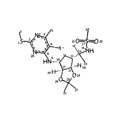 CSc1nc(C)c(I)c(N[C@@H]2C[C@H](C(C)(C)NS(C)(=O)=O)[C@H]3OC(C)(C)O[C@H]32)n1